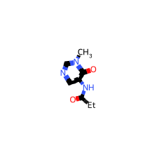 CCC(=O)Nc1cncn(C)c1=O